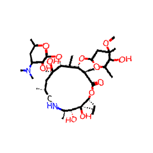 CC[C@H]1OC(=O)[C@H](C)[C@@H](OC2CC(C)(OC)C(O)C(C)O2)C(C)[C@@H](OC2OC(C)CC(N(C)C)C2O)[C@](C)(O)C[C@@H](C)CN[C@H](C)[C@@H](O)[C@]1(C)O